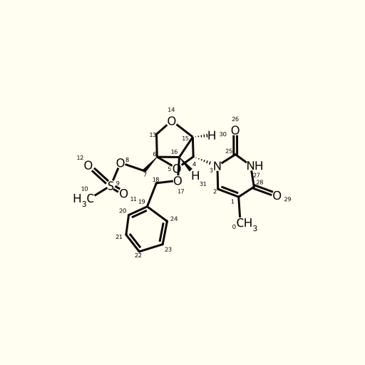 Cc1cn([C@@H]2O[C@]3(COS(C)(=O)=O)CO[C@@H]2[C@@H]3OCc2ccccc2)c(=O)[nH]c1=O